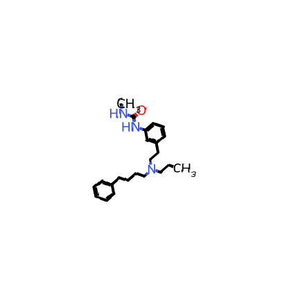 CCCN(CCCCc1ccccc1)CCc1cccc(NC(=O)NC)c1